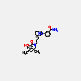 C=CCC(C)(C)CN(CCC[C@]12CCC(CC(c3cccc(C(N)=O)c3)C1)N2)C(=O)CO